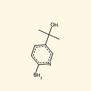 Bc1ccc(C(C)(C)O)cn1